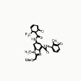 COCc1nc2c(C(=O)Nc3cccc(Cl)c3C)cc(NC(=O)c3c(Cl)cccc3C(F)(F)F)cc2n1C